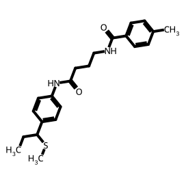 CCC(SC)c1ccc(NC(=O)CCCNC(=O)c2ccc(C)cc2)cc1